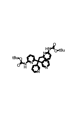 CC(C)(C)OC(=O)Nc1cccc(CC(c2cccnc2)(c2cccnc2)c2cccc(NC(=O)OC(C)(C)C)n2)n1